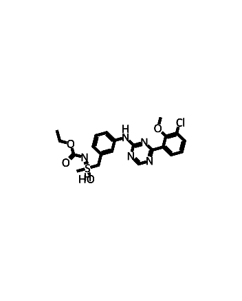 CCOC(=O)N=[SH](C)(O)Cc1cccc(Nc2ncnc(-c3cccc(Cl)c3OC)n2)c1